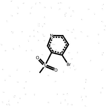 CS(=O)(=O)c1cnccc1Br